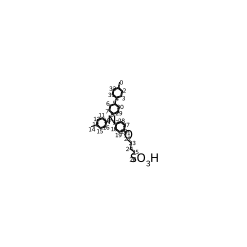 Cc1ccc(-c2ccc(N(c3ccc(C)cc3)c3ccc(OCCCCS(=O)(=O)O)cc3)cc2)cc1